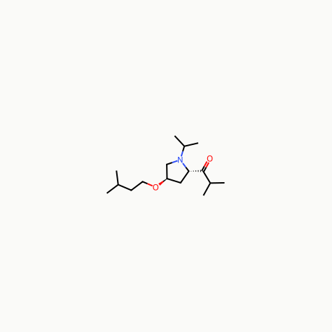 CC(C)CCO[C@@H]1C[C@@H](C(=O)C(C)C)N(C(C)C)C1